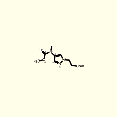 COCCn1cc(N(C)C(=O)OC(C)(C)C)cn1